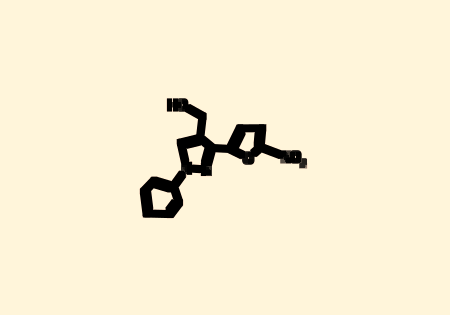 O=[N+]([O-])c1ccc(-c2nn(-c3ccccc3)cc2CO)o1